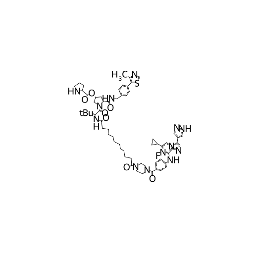 Cc1ncsc1-c1ccc(CNC(=O)[C@@H]2C[C@@H](OC(=O)C3CCCN3)CN2C(=O)[C@@H](NC(=O)CCCCCCCCCCC(=O)N2CCN(C(=O)c3ccc(Nc4nc(C5CC5)cn5c(-c6cn[nH]c6)cnc45)c(F)c3)CC2)C(C)(C)C)cc1